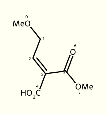 COCC=C(C(=O)O)C(=O)OC